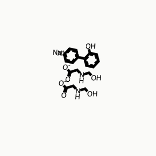 O=C([O-])CNCO.O=C([O-])CNCO.Oc1ccccc1-c1ccccc1.[Na+].[Na+]